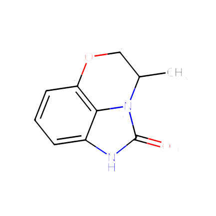 CC1COc2cccc3[nH]c(=O)n1c23